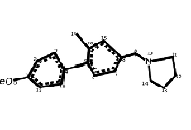 COc1ccc(-c2ccc([CH]N3CCCC3)cc2C)cc1